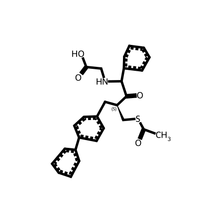 CC(=O)SC[C@@H](Cc1ccc(-c2ccccc2)cc1)C(=O)C(NCC(=O)O)c1ccccc1